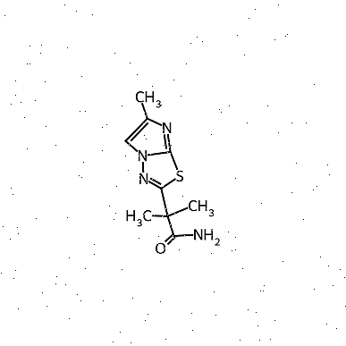 Cc1cn2nc(C(C)(C)C(N)=O)sc2n1